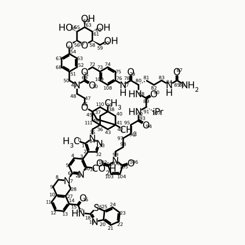 Cc1c(-c2ccc(N3CCc4cccc(C(=O)Nc5nc6ccccc6s5)c4C3)nc2C(=O)O)cnn1CC12CC3(C)CC(C)(C1)CC(OCCN(Cc1ccc(O[C@@H]4O[C@H](CO)[C@@H](O)[C@H](O)[C@H]4O)cc1)C(=O)OCc1ccc(NC(=O)[C@H](CCCNC(N)=O)NC(=O)[C@@H](NC(=O)CCCCCN4C(=O)C=CC4=O)C(C)C)cc1)(C3)C2